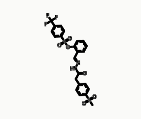 CS(=O)(=O)c1ccc(CC(=O)NN=Cc2ccccc2OS(=O)(=O)c2ccc(C(F)(F)F)cc2)cc1